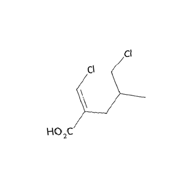 CC(CCl)CC(=CCl)C(=O)O